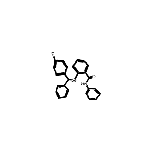 O=C(Nc1ccccc1)c1ccccc1[Se]C(c1ccccc1)c1ccc(F)cc1